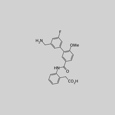 COc1ccc(C(=O)Nc2ccccc2CC(=O)O)cc1-c1cc(F)cc(CN)c1